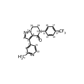 Cc1cc(-c2cnn3c2C(=O)N(c2ccc(C(F)(F)F)cc2)CC3)ccn1